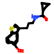 O=C(NCCCc1csc2ccc(O)cc12)C1CC1